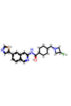 O=C(Nc1cc2cc(-c3cncs3)ccc2cn1)C1CCC(CN2CC(F)C2)CC1